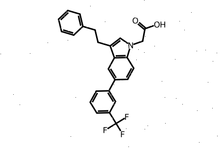 O=C(O)Cn1cc(CCc2ccccc2)c2cc(-c3cccc(C(F)(F)F)c3)ccc21